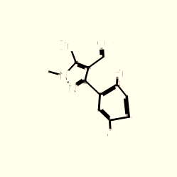 Cn1nc(-c2cc(Cl)ccc2Br)c(C=O)c1Br